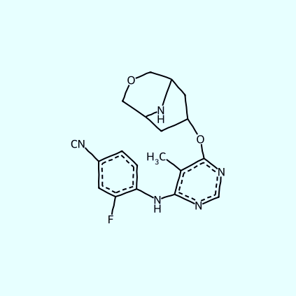 [C-]#[N+]c1ccc(Nc2ncnc(OC3CC4COCC(C3)N4)c2C)c(F)c1